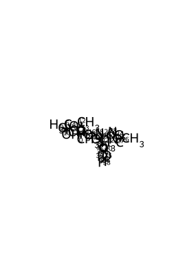 Cc1cc(OC(C)(C)C(=O)O)c(C)cc1OCc1nc(-c2cnc(OC(C)C)nc2)c(-c2ccc(OC(F)(F)F)cc2)o1